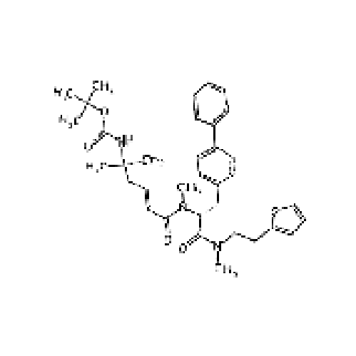 CN(CCc1cccs1)C(=O)[C@@H](Cc1ccc(-c2ccccc2)cc1)N(C)C(=O)/C=C/CC(C)(C)NC(=O)OC(C)(C)C